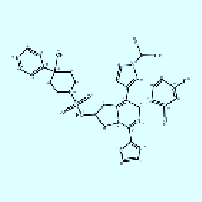 O=S(=O)(N[C@H]1CC2=C(c3ccn(C(F)F)n3)[C@H](c3ccc(F)cc3Cl)N=C(c3nccs3)N2C1)N1CCC(O)(c2ccncc2)CC1